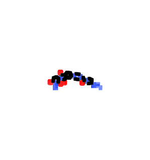 N[C@H]1CCN(C(=O)CN2CCN(c3ccc4c(c3)C(=O)N(C3CCC(=O)NC3=O)C4=O)CC2)C1